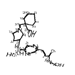 Cl.Cl.O=C(/C=C/c1cnc(NC2CCN(CC3(CO)CCCCC3)C2)cn1)NO